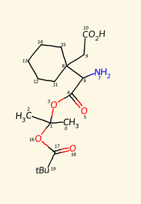 CC(C)(OC(=O)C(N)C1(CC(=O)O)CCCCC1)OC(=O)C(C)(C)C